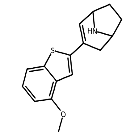 COc1cccc2sc(C3=CC4CCC(C3)N4)cc12